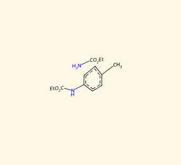 CCOC(=O)Nc1ccc(C)cc1.CCOC(N)=O